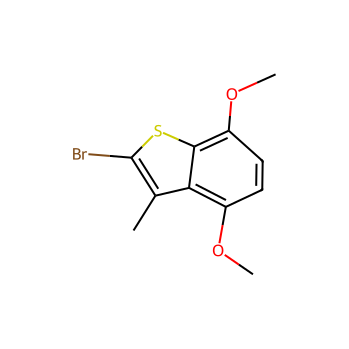 COc1ccc(OC)c2c(C)c(Br)sc12